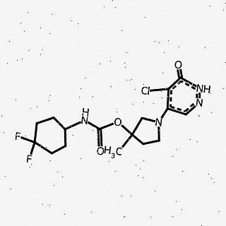 CC1(OC(=O)NC2CCC(F)(F)CC2)CCN(c2cn[nH]c(=O)c2Cl)C1